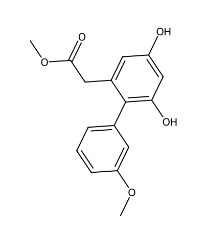 COC(=O)Cc1cc(O)cc(O)c1-c1cccc(OC)c1